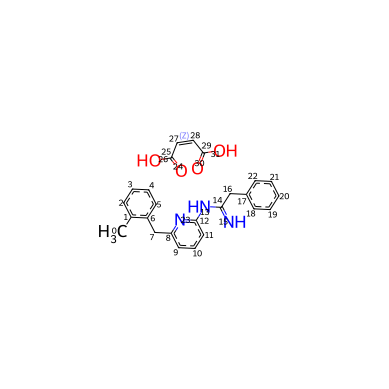 Cc1ccccc1Cc1cccc(NC(=N)Cc2ccccc2)n1.O=C(O)/C=C\C(=O)O